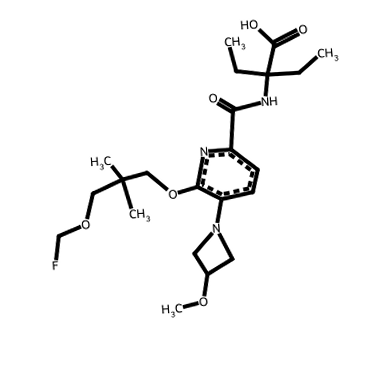 CCC(CC)(NC(=O)c1ccc(N2CC(OC)C2)c(OCC(C)(C)COCF)n1)C(=O)O